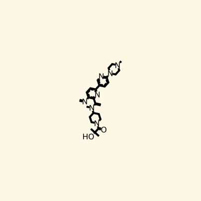 C=Nc1ccc(-c2ccc(N3CCN(C)CC3)nc2)nc1C(=C)N(C)C1CCN(C(=O)C(C)(C)O)CC1